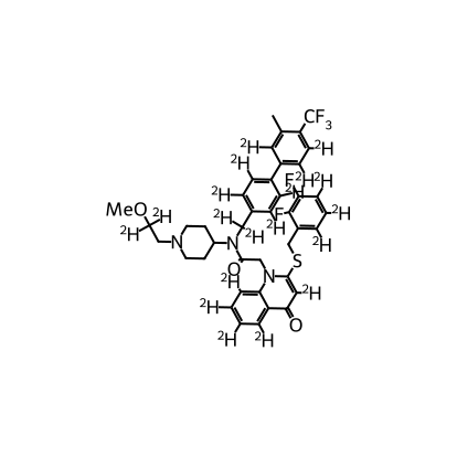 [2H]c1c([2H])c(F)c(F)c(CSc2c([2H])c(=O)c3c([2H])c([2H])c([2H])c([2H])c3n2CC(=O)N(C2CCN(CC([2H])([2H])OC)CC2)C([2H])([2H])c2c([2H])c([2H])c(-c3c([2H])c([2H])c(C(F)(F)F)c(C)c3[2H])c([2H])c2[2H])c1[2H]